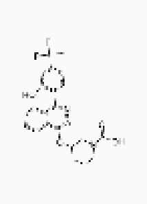 O=C(O)N1CCCC(Oc2nnc(-c3ccc(C(F)(F)F)cc3O)c3ccccc23)C1